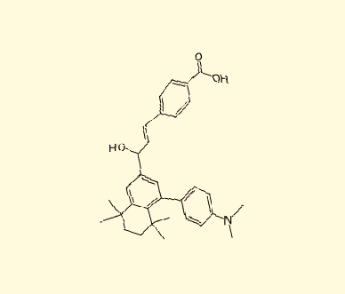 CN(C)c1ccc(-c2cc(C(O)/C=C/c3ccc(C(=O)O)cc3)cc3c2C(C)(C)CCC3(C)C)cc1